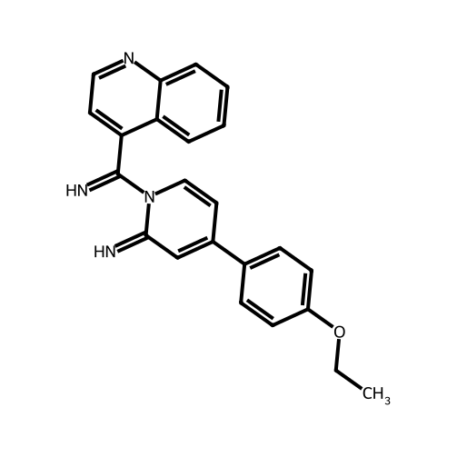 CCOc1ccc(-c2ccn(C(=N)c3ccnc4ccccc34)c(=N)c2)cc1